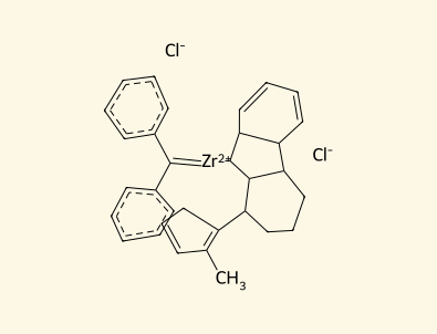 CC1=C(C2CCCC3C4C=CC=CC4[CH]([Zr+2]=[C](c4ccccc4)c4ccccc4)C23)CC=C1.[Cl-].[Cl-]